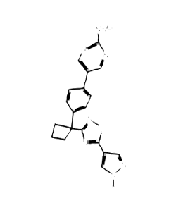 CNc1ncc(-c2ccc(C3(c4noc(-c5cnn(C)c5)n4)CCC3)cc2)cn1